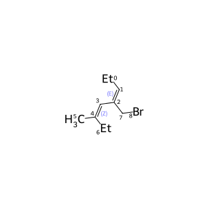 CC/C=C(\C=C(\C)CC)CBr